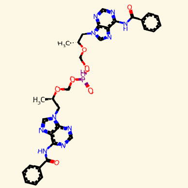 C[C@H](Cn1cnc2c(NC(=O)c3ccccc3)ncnc21)OCO[PH](=O)OCO[C@H](C)Cn1cnc2c(NC(=O)c3ccccc3)ncnc21